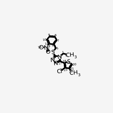 CCn1c(SCc2ccccc2[N+](=O)[O-])nnc1-c1scc(C)c1Cl